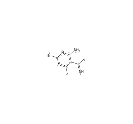 CC(=N)c1c(C)cc(Br)nc1N